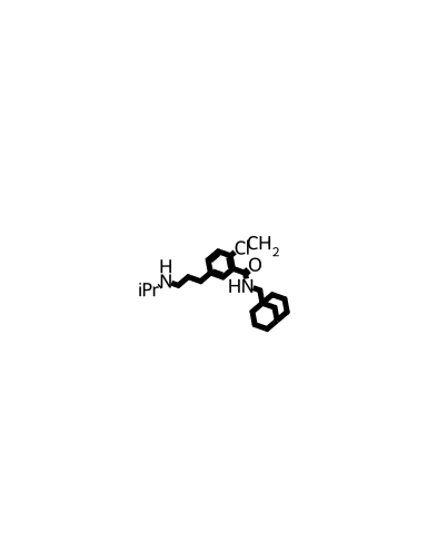 CC(C)NCCCc1ccc(Cl)c(C(=O)NCC23CCCC(CCC2)C3)c1.[CH2]